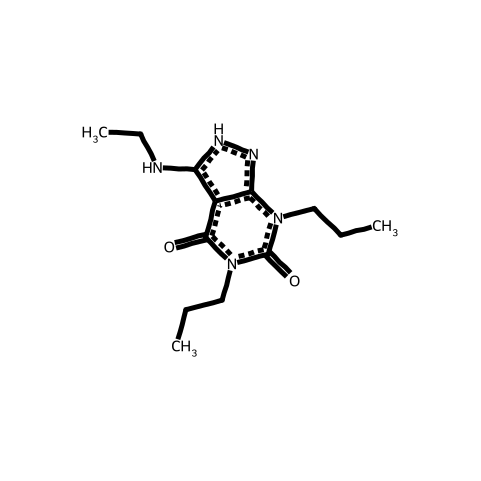 CCCn1c(=O)c2c(NCC)[nH]nc2n(CCC)c1=O